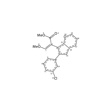 COC=C(C(=O)OC)c1c(-c2cccc(Cl)c2)cc2cccoc1-2